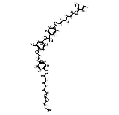 C=C=COOCCCCCCOc1ccc(OCOc2ccc(OC(=O)c3ccc(OCCCCCCOC(=O)C=C)cc3)cc2C)cc1